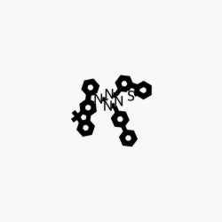 CC1(C)c2ccccc2-c2cc3c(cc21)c1ccccc1n3-c1nc(-c2ccc(-c3ccccc3)cc2)nc(-c2cccc3c2sc2ccccc23)n1